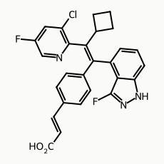 O=C(O)C=Cc1ccc(C(=C(c2ncc(F)cc2Cl)C2CCC2)c2cccc3[nH]nc(F)c23)cc1